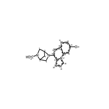 O=C(O)N1CC2CC1CN2c1nc2ncc(Cl)cc2n2cnnc12